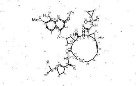 COc1ccc2c(O[C@@H]3C[C@H]4C(=O)N[C@]5(C(=O)NS(=O)(=O)C6CC6)C[C@H]5/C=C\CCCCC[C@H](NC(=O)C5=NN(C(F)F)CC5)C(=O)N4C3)cc(OC(C)C)nc2c1C